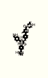 Cc1cc(C(=O)N2CCNC(C)C2)ncc1-c1ccc(C[C@H](NC(=O)C2CCC(CN)CC2)C(=O)Nc2ccc(-c3nnn[nH]3)cc2)cc1